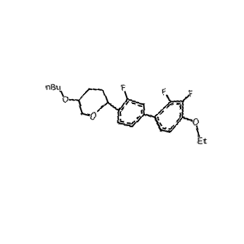 CCCCOC1CCC(c2ccc(-c3ccc(OCC)c(F)c3F)cc2F)OC1